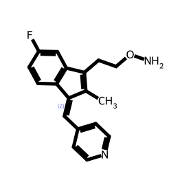 CC1=C(CCON)c2cc(F)ccc2/C1=C/c1ccncc1